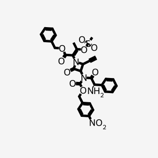 C#CC1C(N(C(=O)OCc2ccc([N+](=O)[O-])cc2)C(=O)[C@@H](N)c2ccccc2)C(=O)N1C(C(=O)OCc1ccccc1)=C(C)OS(C)(=O)=O